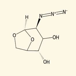 [N-]=[N+]=N[C@H]1C(O)[C@H](O)C2CO[C@@H]1O2